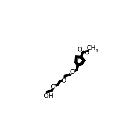 COC(=O)c1ccc(COCCOCCOCCO)cc1